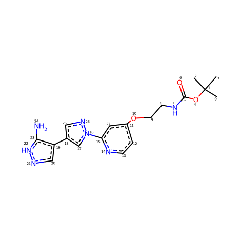 CC(C)(C)OC(=O)NCCOc1ccnc(-n2cc(-c3cn[nH]c3N)cn2)c1